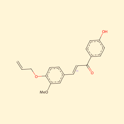 C=CCOc1ccc(/C=C/C(=O)c2ccc(O)cc2)cc1OC